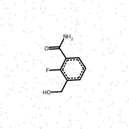 NC(=O)c1cccc(CO)c1F